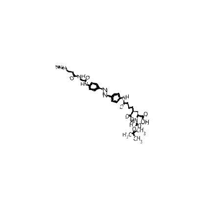 CC(C)(C)OC(=O)N[C@@H](C[C@H](CCCC(=O)Nc1ccc(N=Nc2ccc(NC(=O)CNC(=O)CCN=[N+]=[N-])cc2)cc1)C(=O)O)C(=O)O